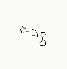 O=C1N2C(CCC2c2ccccc2)OC12CCN(c1cc(F)ccn1)CC2